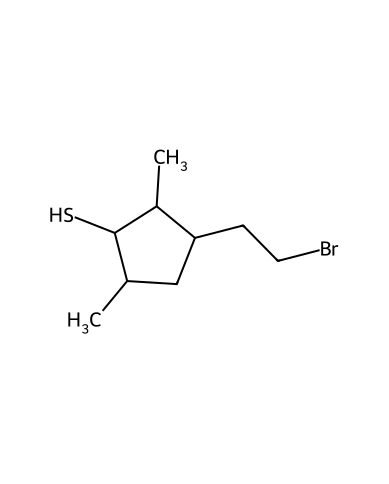 CC1CC(CCBr)C(C)C1S